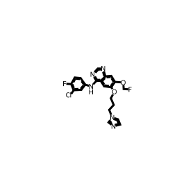 FCOc1cc2ncnc(Nc3ccc(F)c(Cl)c3)c2cc1OCCCn1ccnc1